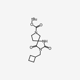 CC(C)(C)OC(=O)N1CCC2(C1)NC(=O)N(CC1CCC1)C2=O